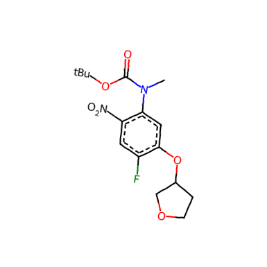 CN(C(=O)OC(C)(C)C)c1cc(OC2CCOC2)c(F)cc1[N+](=O)[O-]